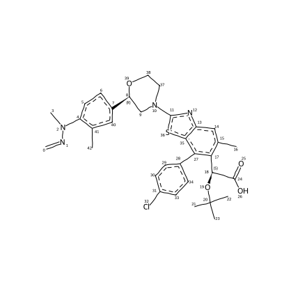 C=NN(C)c1ccc([C@@H]2CN(c3nc4cc(C)c([C@H](OC(C)(C)C)C(=O)O)c(-c5ccc(Cl)cc5)c4s3)CCO2)cc1C